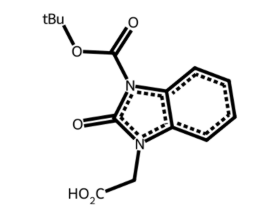 CC(C)(C)OC(=O)n1c(=O)n(CC(=O)O)c2ccccc21